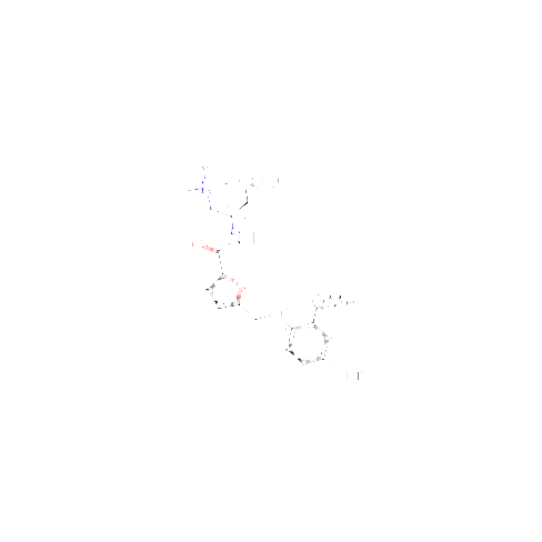 CCCc1ccc(OCc2ccc(C(=O)N[C@H](CC(=O)[O-])C[N+](C)(C)C)o2)c(OC)c1